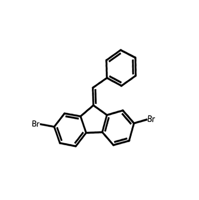 Brc1ccc2c(c1)C(=Cc1ccccc1)c1cc(Br)ccc1-2